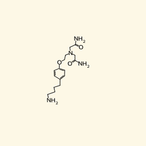 NCCCCc1ccc(OCCN(CC(N)=O)CC(N)=O)cc1